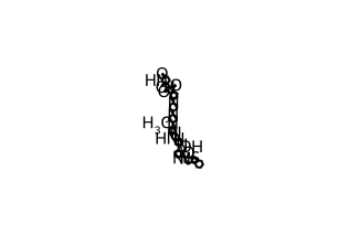 C[C@H]1CN(C2CCN(c3ccc4c(c3)C(=O)N(C3CCC(=O)NC3=O)C4=O)CC2)CCN1c1ccc(Nc2cc(-c3ccnc(N4CCc5c(sc6c5CCCC6)C4=O)c3CO)ncn2)nc1